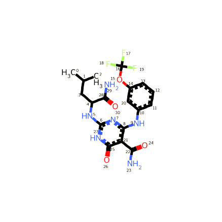 CC(C)CC(Nc1nc(Nc2cccc(OC(F)(F)F)c2)c(C(N)=O)c(=O)[nH]1)C(N)=O